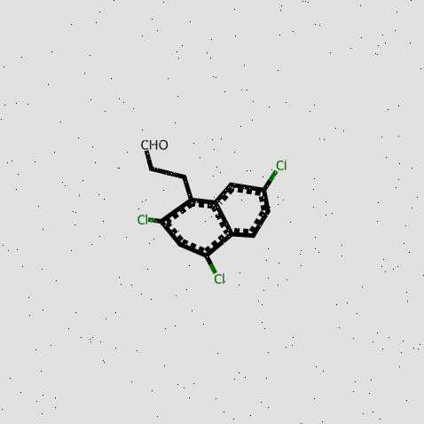 O=CCCc1c(Cl)cc(Cl)c2ccc(Cl)cc12